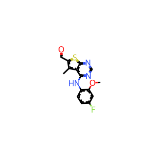 COc1cc(F)ccc1Nc1ncnc2sc(C=O)c(C)c12